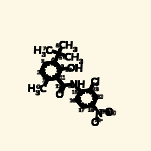 Cc1ccc(C(C)(C)C)c(O)c1C(=O)Nc1ccc([N+](=O)[O-])cc1Cl